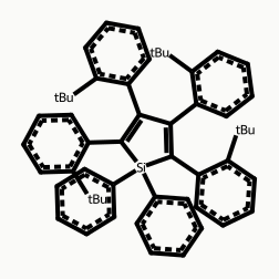 CC(C)(C)c1ccccc1C1=C(c2ccccc2C(C)(C)C)[Si](c2ccccc2)(c2ccccc2)C(c2ccccc2C(C)(C)C)=C1c1ccccc1C(C)(C)C